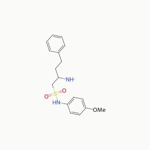 COc1ccc(NS(=O)(=O)CC([NH])CCc2ccccc2)cc1